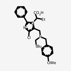 CCC(C(=O)O)n1c(-c2ccccc2)nc(Cl)c1CN(Cc1ccc(OC)cc1)CC(C)(C)C